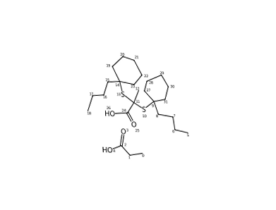 CCC(=O)O.CCCCC1(SC(C)(SC2(CCCC)CCCCC2)C(=O)O)CCCCC1